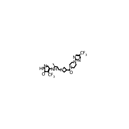 C[C@@H](CCN1CC(C(=O)N2CCN(c3ncc(C(F)(F)F)cn3)CC2)C1)Nc1cn[nH]c(=O)c1C(F)(F)F